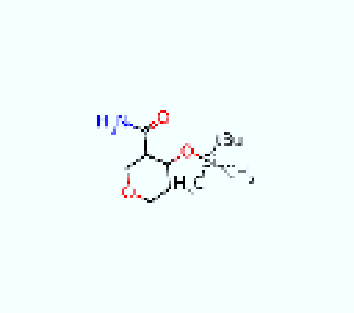 CC(C)(C)[Si](C)(C)OC1CCOCC1C(N)=O